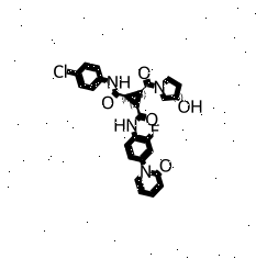 O=C(Nc1ccc(Cl)cc1)[C@@H]1[C@H](C(=O)Nc2ccc(-n3ccccc3=O)cc2F)[C@H]1C(=O)N1CC[C@H](O)C1